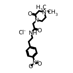 C[N+]1(C)CCN(CC(=O)NCCc2ccc([N+](=O)[O-])cc2)C(=O)C1.[Cl-]